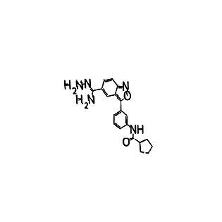 N/N=C(\N)c1ccc2noc(-c3cccc(NC(=O)C4CCCC4)c3)c2c1